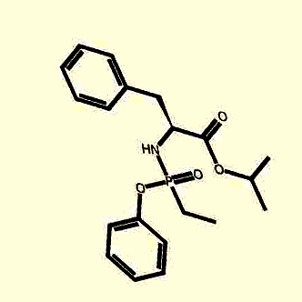 CCP(=O)(N[C@@H](Cc1ccccc1)C(=O)OC(C)C)Oc1ccccc1